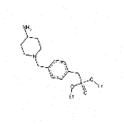 CCOP(=O)(Cc1ccc(CN2CCC(N)CC2)cc1)OCC